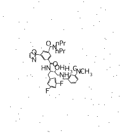 CCCN(CCC)C(=O)c1cc(C(=O)NC(Cc2cc(F)cc(F)c2)C(O)CNCc2cccc(N(C)C)c2)cc(-c2ncco2)c1